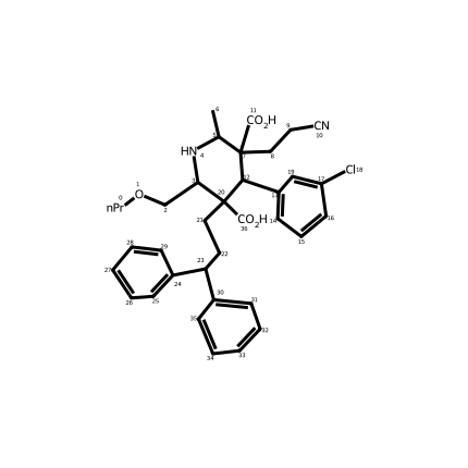 CCCOCC1NC(C)C(CCC#N)(C(=O)O)C(c2cccc(Cl)c2)C1(CCC(c1ccccc1)c1ccccc1)C(=O)O